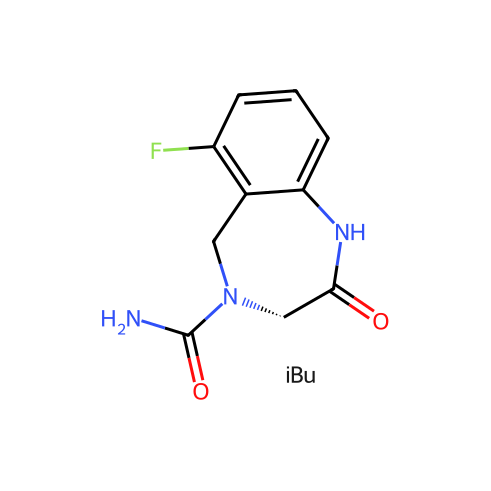 CC[C@H](C)[C@H]1C(=O)Nc2cccc(F)c2CN1C(N)=O